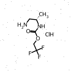 C[C@@H](CN)NC(=O)OCC(F)(F)F.Cl